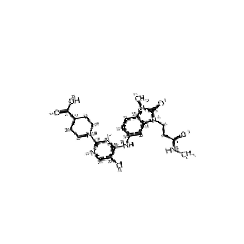 CNC(=O)CCn1c(=O)n(C)c2ccc(Nc3nc(N4CCC(C(=O)O)CC4)ncc3Cl)cc21